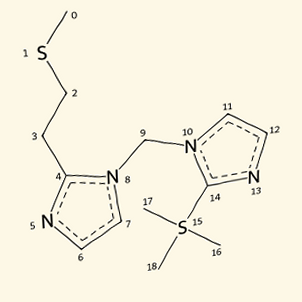 CSCCc1nccn1Cn1ccnc1S(C)(C)C